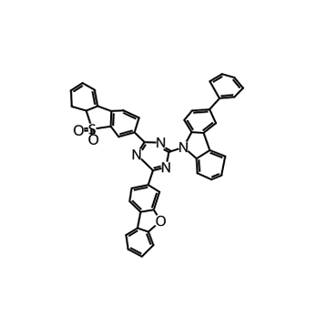 O=S1(=O)c2cc(-c3nc(-c4ccc5c(c4)oc4ccccc45)nc(-n4c5ccccc5c5cc(-c6ccccc6)ccc54)n3)ccc2C2=CC=CCC21